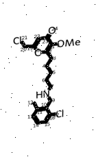 COc1c(CCCCCNCc2c(C)cccc2Cl)oc(CCl)cc1=O